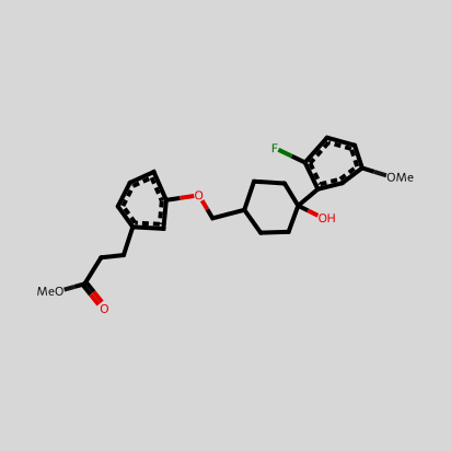 COC(=O)CCc1cccc(OCC2CCC(O)(c3cc(OC)ccc3F)CC2)c1